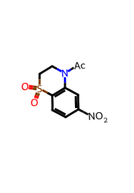 CC(=O)N1CCS(=O)(=O)c2ccc([N+](=O)[O-])cc21